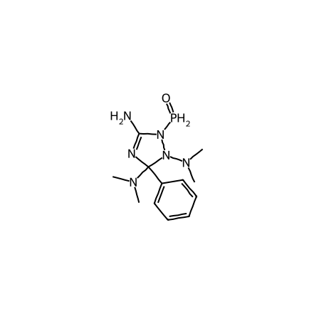 CN(C)N1N([PH2]=O)C(N)=NC1(c1ccccc1)N(C)C